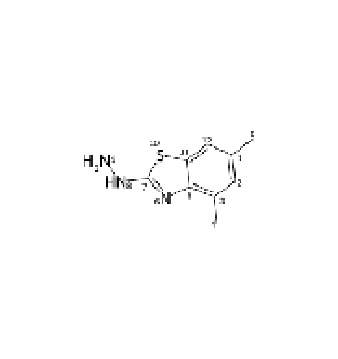 Cc1cc(C)c2nc(NN)sc2c1